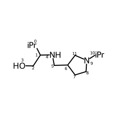 CC(C)C(CO)NCC1CCN(C(C)C)C1